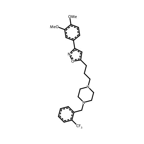 COc1ccc(-c2cc(CCCN3CCN(Cc4ccccc4C(F)(F)F)CC3)on2)cc1OC